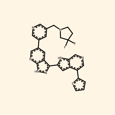 FC1(F)CCN(Cc2cncc(-c3cnc4[nH]nc(-c5cc6c(-c7cccs7)cncc6[nH]5)c4c3)c2)C1